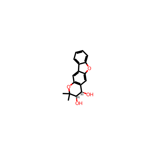 CC1(C)Oc2cc3c(cc2[C@@H](O)[C@H]1O)oc1ccccc13